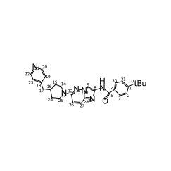 CC(C)(C)c1ccc(C(=O)Nc2cn3nc(N4CCC(Cc5ccncc5)CC4)ccc3n2)cc1